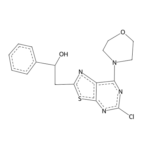 OC(Cc1nc2c(N3CCOCC3)nc(Cl)nc2s1)c1ccccc1